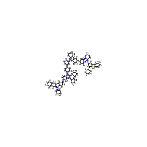 c1ccc(-c2cc(-n3c4ccccc4c4cc(-c5ccc6c(c5)c5ccccc5n6-c5cccc(-c6ccc(-n7c8ccc(-c9ccc%10c(c9)c9cc%11ccccc%11cc9n%10-c9ccccc9)cc8c8c9ccccc9c9ccccc9c87)cc6)c5)ccc43)cc3c2sc2ccccc23)cc1